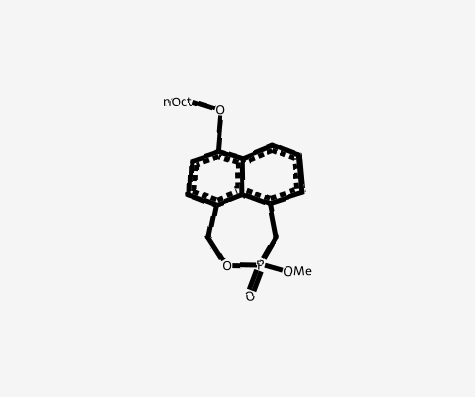 CCCCCCCCOc1ccc2c3c(cccc13)CP(=O)(OC)OC2